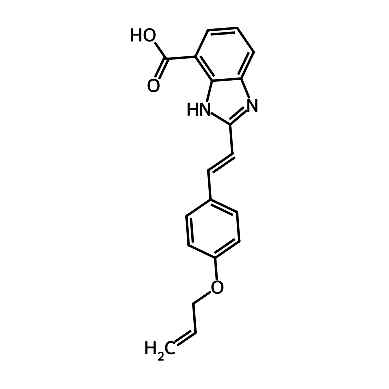 C=CCOc1ccc(C=Cc2nc3cccc(C(=O)O)c3[nH]2)cc1